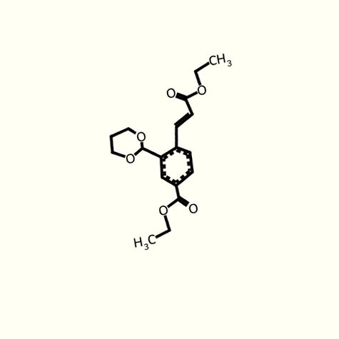 CCOC(=O)C=Cc1ccc(C(=O)OCC)cc1C1OCCCO1